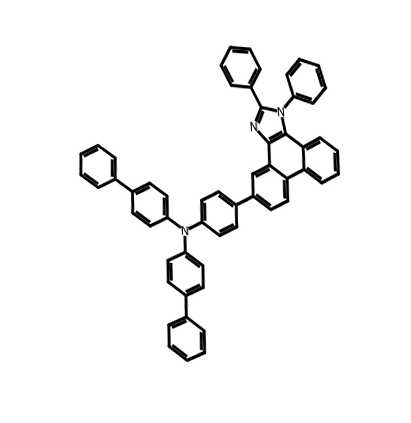 c1ccc(-c2ccc(N(c3ccc(-c4ccccc4)cc3)c3ccc(-c4ccc5c6ccccc6c6c(nc(-c7ccccc7)n6-c6ccccc6)c5c4)cc3)cc2)cc1